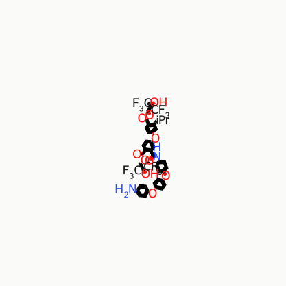 CC(C)c1cc(Oc2ccc(C(=O)OCC(O)(C(F)(F)F)C(F)(F)F)c(C(=O)Nc3ccc(Oc4ccc(Oc5ccc(N)cc5)cc4)cc3)c2)ccc1C(=O)OCC(O)(C(F)(F)F)C(F)(F)F